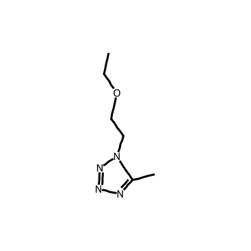 CCOCCn1nnnc1C